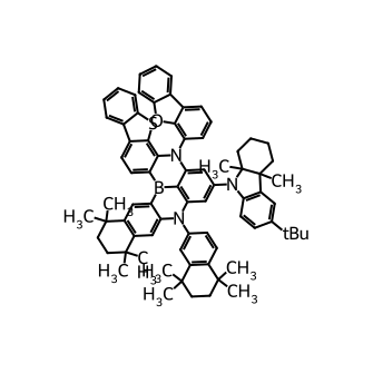 CC(C)(C)c1ccc2c(c1)C1(C)CCCCC1(C)N2c1cc2c3c(c1)N(c1cccc4c1oc1ccccc14)c1c(ccc4c1sc1ccccc14)B3c1cc3c(cc1N2c1ccc2c(c1)C(C)(C)CCC2(C)C)C(C)(C)CCC3(C)C